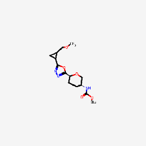 CC(C)(C)OC(=O)N[C@@H]1CC[C@@H](c2nnc(C3CC3COC(F)(F)F)o2)OC1